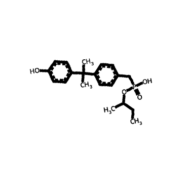 CCC(C)OP(=O)(O)Cc1ccc(C(C)(C)c2ccc(O)cc2)cc1